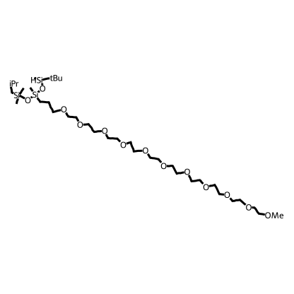 COCCOCCOCCOCCOCCOCCOCCOCCOCCOCCOCCC[Si](C)(O[SiH](C)C(C)(C)C)O[Si](C)(C)CC(C)C